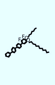 CCCCCCCCCCCCOC1(OCCCCCCC)C=CC(c2ccc(-c3ccc(-c4ccccc4)cc3)cc2)=C(F)C1F